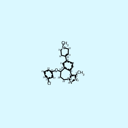 Cc1nnn2c1-c1ccc(C3=CCN(C)CC3)cc1C(Oc1cccc(Cl)c1)CC2